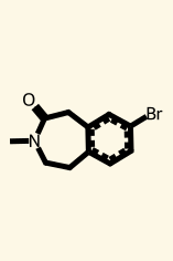 CN1CCc2ccc(Br)cc2CC1=O